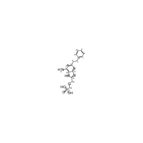 Nc1nc(CCc2ccccc2)nc2nc(COCP(=O)(O)O)[nH]c12